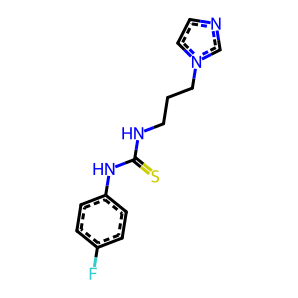 Fc1ccc(NC(=S)NCCCn2ccnc2)cc1